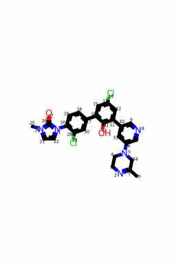 CC1=NCCN(c2cncc(-c3cc(Cl)cc(-c4ccc(-n5ccn(C)c5=O)c(Cl)c4)c3O)c2)C1